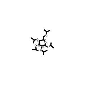 CC(C)OC[C@H]1OC(OC(C)C)[C@@H](OC(C)C)[C@@H](OC(C)C)[C@@H]1OC(C)C